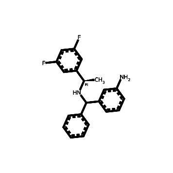 C[C@@H](NC(c1ccccc1)c1cccc(N)c1)c1cc(F)cc(F)c1